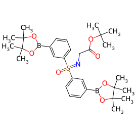 CC(C)(C)OC(=O)CN=S(=O)(c1cccc(B2OC(C)(C)C(C)(C)O2)c1)c1cccc(B2OC(C)(C)C(C)(C)O2)c1